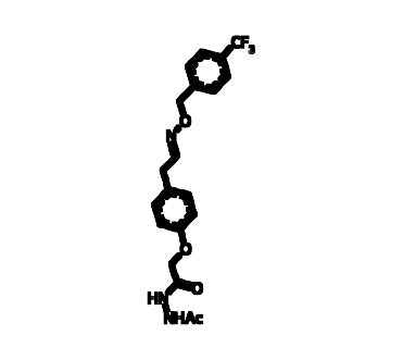 CC(=O)NNC(=O)COc1ccc(CC=NOCc2ccc(C(F)(F)F)cc2)cc1